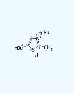 CCCC[n+]1cc(C(C)(C)C)sc1C.[I-]